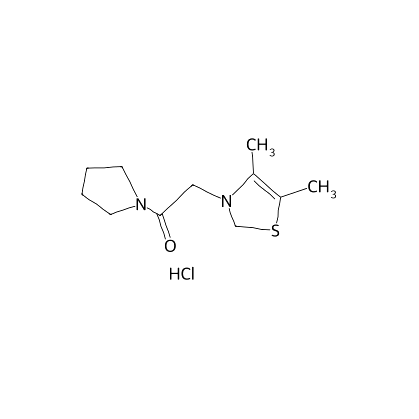 CC1=C(C)N(CC(=O)N2CCCC2)CS1.Cl